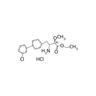 CCOC(=O)[C@H](OC)C(N)Cc1ccc(-c2cccc(Cl)c2)cc1.Cl